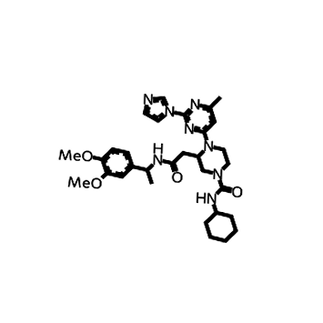 COc1ccc(C(C)NC(=O)CC2CN(C(=O)NC3CCCCC3)CCN2c2cc(C)nc(-n3ccnc3)n2)cc1OC